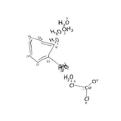 O.O.O.O.O.O.[Cl][Co]([Cl])[Cl].[SiH3]c1ccccc1